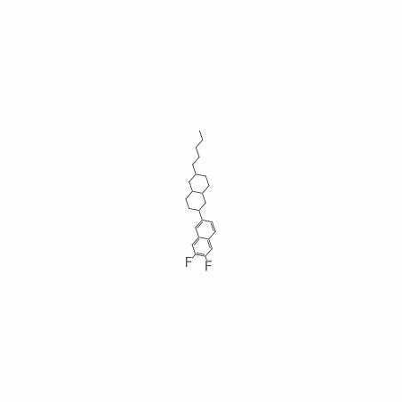 CCCCCC1CCC2CC(c3ccc4cc(F)c(F)cc4c3)CCC2C1